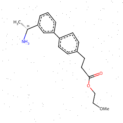 COCCOC(=O)CCc1ccc(-c2cccc([C@@H](C)N)c2)cc1